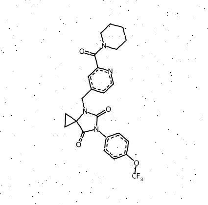 O=C(c1cc(CN2C(=O)N(c3ccc(OC(F)(F)F)cc3)C(=O)C23CC3)ccn1)N1CCCCC1